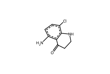 Nc1ccc(Cl)c2c1C(=O)CCN2